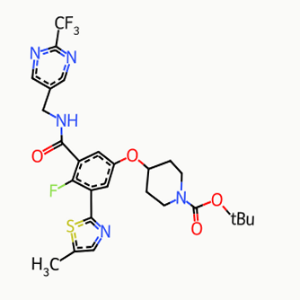 Cc1cnc(-c2cc(OC3CCN(C(=O)OC(C)(C)C)CC3)cc(C(=O)NCc3cnc(C(F)(F)F)nc3)c2F)s1